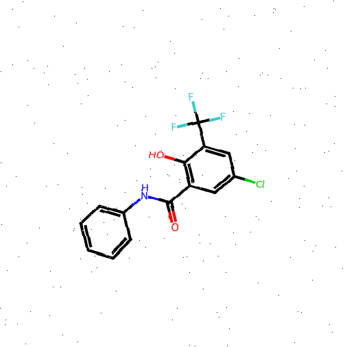 O=C(Nc1ccccc1)c1cc(Cl)cc(C(F)(F)F)c1O